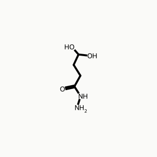 NNC(=O)CCC(O)O